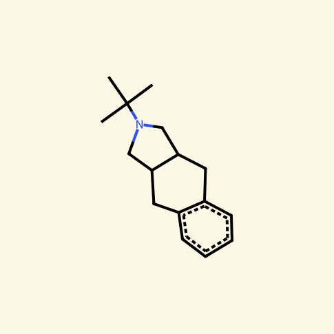 CC(C)(C)N1CC2Cc3ccccc3CC2C1